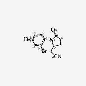 N#CCC1CCC(=O)N1c1ccc(Cl)cc1Br